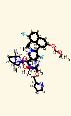 C#Cc1c(F)ccc2cc(OCOC)cc(-c3ncc4c(N5C[C@H]6CC[C@@H](C5)N6C(=O)OC(C)(C)C)nc(OCC5=NCCC5)nc4c3F)c12